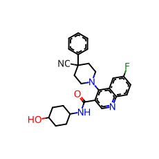 N#CC1(c2ccccc2)CCN(c2c(C(=O)NC3CCC(O)CC3)cnc3ccc(F)cc23)CC1